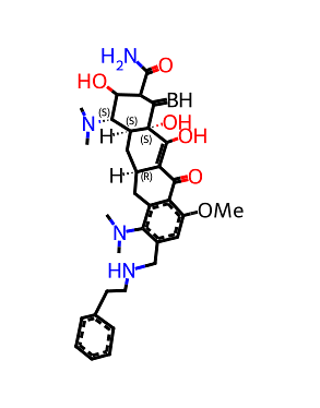 B=C1C(C(N)=O)C(O)[C@@H](N(C)C)[C@@H]2C[C@@H]3Cc4c(c(OC)cc(CNCCc5ccccc5)c4N(C)C)C(=O)C3=C(O)[C@]12O